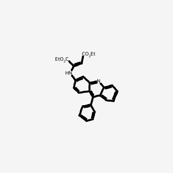 CCOC(=O)C=C(Nc1ccc2c(-c3ccccc3)c3ccccc3nc2c1)C(=O)OCC